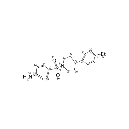 CCc1ccc(C2CCN(S(=O)(=O)c3ccc(N)cc3)CC2)cc1